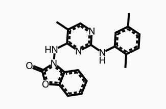 Cc1ccc(C)c(Nc2ncc(C)c(Nn3c(=O)oc4ccccc43)n2)c1